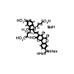 CCCCCCN(CCCCCC)c1ccc2c(c1)oc(=O)c1c(=O)c(/C=C/C3=[N+](CCCS(=O)(=O)O)c4ccc(S(=O)(=O)O)cc4C3(C)CCCC(=O)O)c(O)oc12.[NaH]